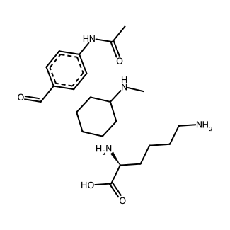 CC(=O)Nc1ccc(C=O)cc1.CNC1CCCCC1.NCCCC[C@H](N)C(=O)O